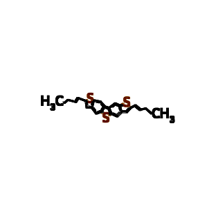 CCC/C=C/c1cc2cc3sc4cc5cc(/C=C/CCC)sc5cc4c3cc2s1